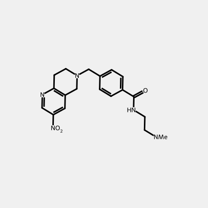 CNCCNC(=O)c1ccc(CN2CCc3ncc([N+](=O)[O-])cc3C2)cc1